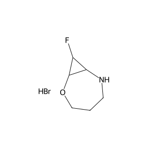 Br.FC1C2NCCCOC12